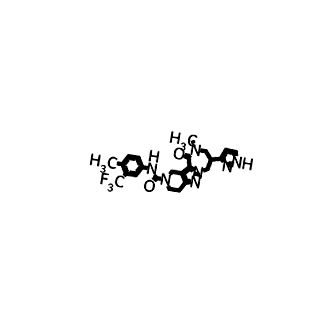 Cc1ccc(NC(=O)N2CCc3nn4c(c3C2)C(=O)N(C)CC(c2cc[nH]n2)C4)cc1C(F)(F)F